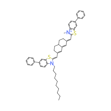 CCCCCCCCCCN1/C(=C/C2=CC3=C/C(=C/c4sc5cc(-c6ccccc6)ccc5[n+]4C)CCC3CC2)Sc2cc(-c3ccccc3)ccc21